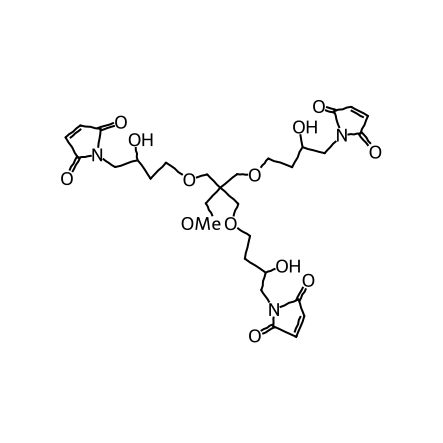 COCC(COCCC(O)CN1C(=O)C=CC1=O)(COCCC(O)CN1C(=O)C=CC1=O)COCCC(O)CN1C(=O)C=CC1=O